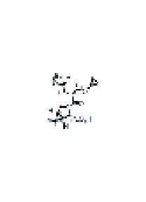 C[C@@H](OC1CC1)[C@H](NC(=O)OC(C)(C)C)C(=O)N1C[C@H]2[C@@H]([C@H]1C(=O)O)C2(C)C